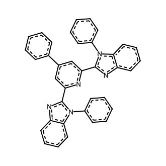 c1ccc(-c2cc(-c3nc4ccccc4n3-c3ccccc3)nc(-c3nc4ccccc4n3-c3ccccc3)c2)cc1